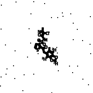 [2H]c1c(C)c(CC(=O)c2sccc2S(=O)(=O)N([2H])c2onc(C)c2Cl)c([2H])c2c1OC([2H])O2